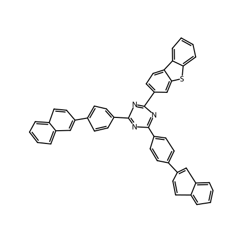 c1ccc2cc(-c3ccc(-c4nc(-c5ccc(-c6ccc7ccccc7c6)cc5)nc(-c5ccc6c(c5)sc5ccccc56)n4)cc3)ccc2c1